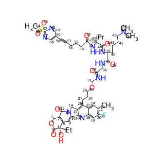 CC[C@@]1(O)C(=O)OCc2c1cc1n(c2=O)Cc2c-1nc1cc(F)c(C)cc1c2CCCOCNC(=O)CNC(=O)C(CCCCN(C)C)NC(=O)C(NC(=O)CCCC#Cc1cnc(S(C)(=O)=O)nc1)C(C)C